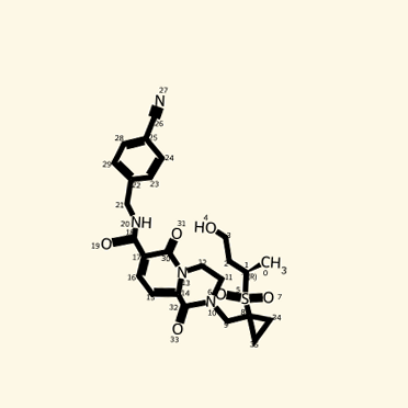 C[C@H](CCO)S(=O)(=O)C1(CN2CCn3c(ccc(C(=O)NCc4ccc(C#N)cc4)c3=O)C2=O)CC1